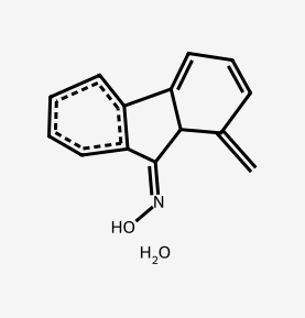 C=C1C=CC=C2c3ccccc3C(=NO)C12.O